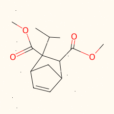 COC(=O)C1C2C=CC(C2)C1(C(=O)OC)C(C)C